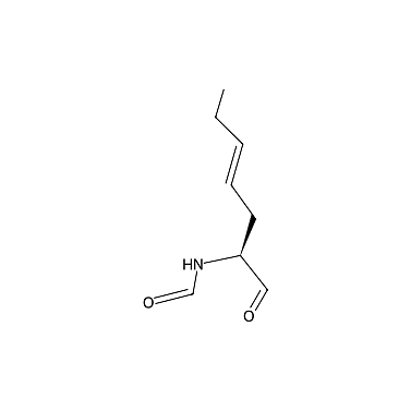 CC/C=C/C[C@@H](C=O)NC=O